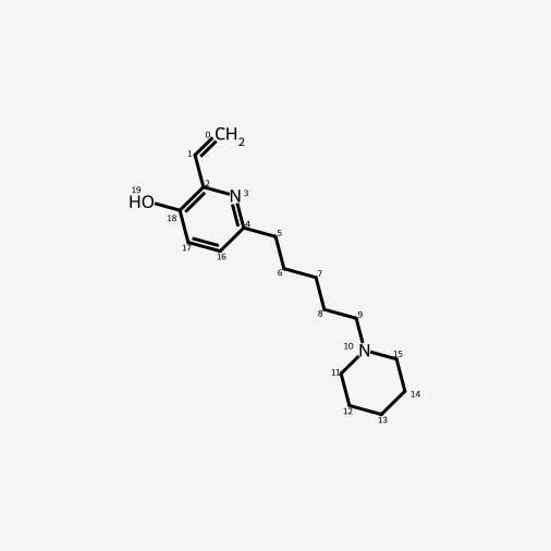 C=Cc1nc(CCCCCN2CCCCC2)ccc1O